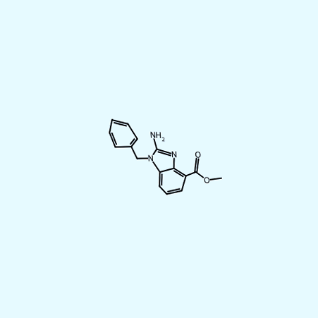 COC(=O)c1cccc2c1nc(N)n2Cc1ccccc1